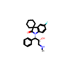 CC(C)NC[C@@H](O)[C@H](c1ccccc1)N1C(=O)C2(CCCCC2)c2cc(F)ccc21